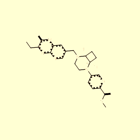 CCc1nc2ncc(CN3CCN(c4ccc(C(=O)NC)nc4)[C@@H]4CC[C@@H]43)cc2[nH]c1=O